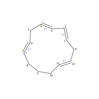 [CH]1/C=C/C=C/C/C=C/CCC/C=C/1